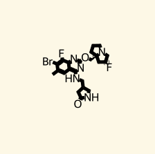 Cc1cc2c(NCC3CNC(=O)C3)nc(OC[C@@]34CCCN3C[C@H](F)C4)nc2c(F)c1Br